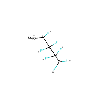 COC(F)C(F)(F)C(F)(F)C(F)F